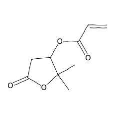 C=CC(=O)OC1CC(=O)OC1(C)C